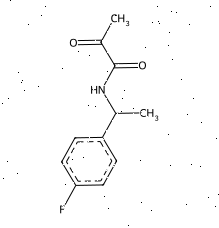 CC(=O)C(=O)NC(C)c1ccc(F)cc1